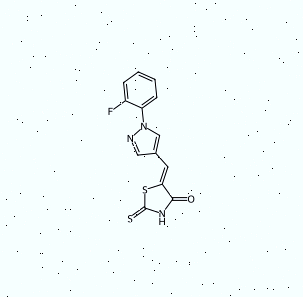 O=C1NC(=S)S/C1=C\c1cnn(-c2ccccc2F)c1